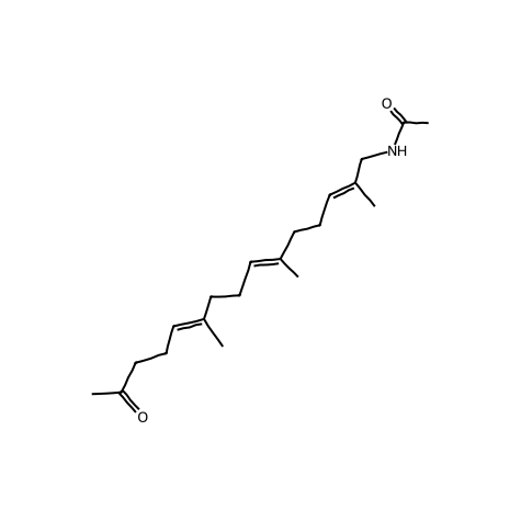 CC(=O)CC/C=C(\C)CC/C=C(\C)CC/C=C(\C)CNC(C)=O